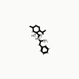 CC1CCC(C(C)C)[C@@](O)(C(=O)NC(N)Cc2ccccc2)C1